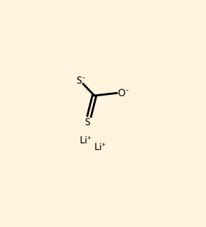 [Li+].[Li+].[O-]C(=S)[S-]